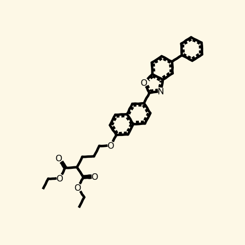 CCOC(=O)C(CCCOc1ccc2cc(-c3nc4cc(-c5ccccc5)ccc4o3)ccc2c1)C(=O)OCC